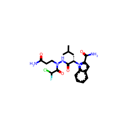 CC(C)C[C@@H](C(=O)NN(CCC(N)=O)C(=O)C(F)Cl)n1c(C(N)=O)cc2ccccc21